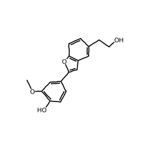 COc1cc(-c2cc3cc(CCO)ccc3o2)ccc1O